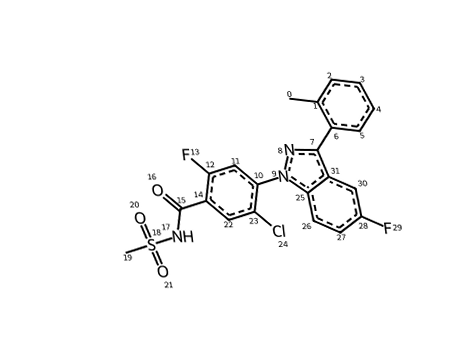 Cc1ccccc1-c1nn(-c2cc(F)c(C(=O)NS(C)(=O)=O)cc2Cl)c2ccc(F)cc12